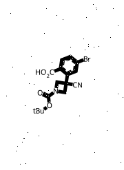 CC(C)(C)OC(=O)N1CC(C#N)(c2cc(Br)ccc2C(=O)O)C1